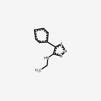 CCNc1nnsc1-c1ccccc1